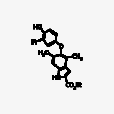 CCOC(=O)c1cc2c(C)c(Oc3ccc(O)c(C(C)C)c3)c(C)cc2[nH]1